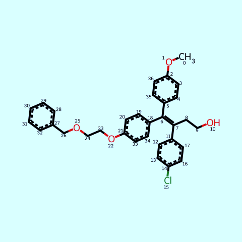 COc1ccc(/C(=C(\CCO)c2ccc(Cl)cc2)c2ccc(OCCOCc3ccccc3)cc2)cc1